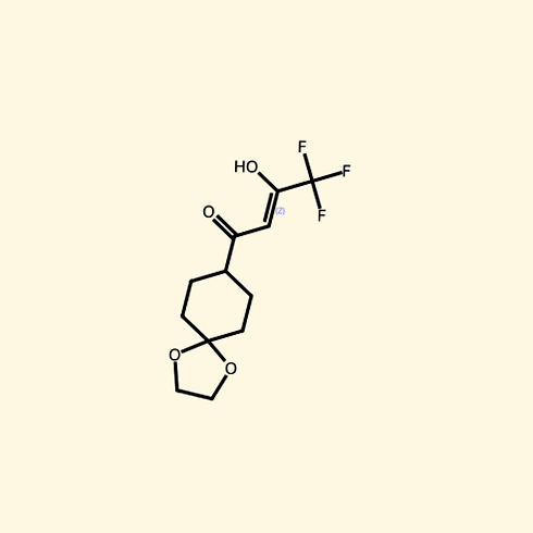 O=C(/C=C(\O)C(F)(F)F)C1CCC2(CC1)OCCO2